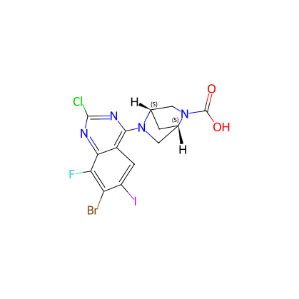 O=C(O)N1C[C@@H]2C[C@H]1CN2c1nc(Cl)nc2c(F)c(Br)c(I)cc12